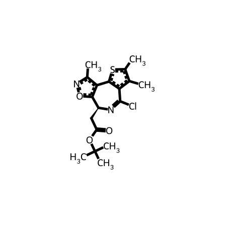 Cc1noc2c1-c1sc(C)c(C)c1C(Cl)=N[C@H]2CC(=O)OC(C)(C)C